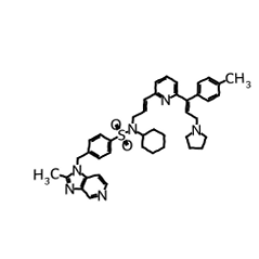 Cc1ccc(C(=CCN2CCCC2)c2cccc(C=CCN(C3CCCCC3)S(=O)(=O)c3ccc(Cn4c(C)nc5cnccc54)cc3)n2)cc1